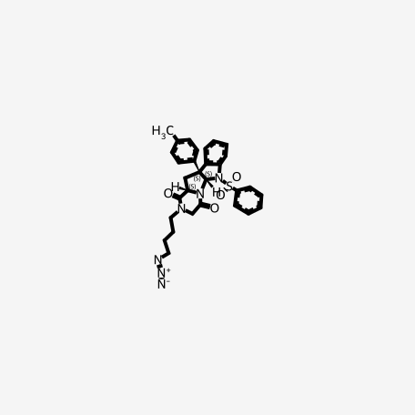 Cc1ccc([C@]23C[C@H]4C(=O)N(CCCCN=[N+]=[N-])CC(=O)N4[C@H]2N(S(=O)(=O)c2ccccc2)c2ccccc23)cc1